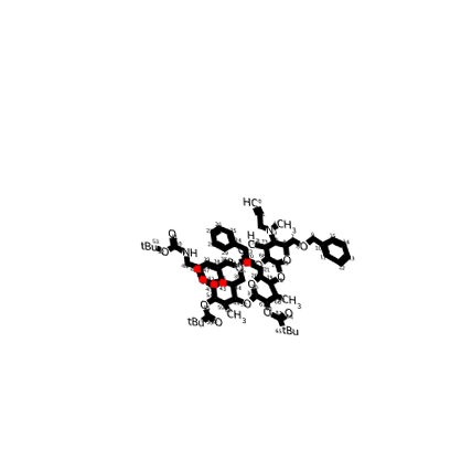 C#CCN(C)C1C(COCc2ccccc2)OC(OC2C(COCc3ccccc3)OC(OC3C(COCc4ccccc4)OC(OCCNC(=O)OC(C)(C)C)C(OC(=O)C(C)(C)C)C3C)C(OC(=O)C(C)(C)C)C2C)C(OC(=O)C(C)(C)C)C1C